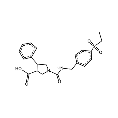 CCS(=O)(=O)c1ccc(CNC(=O)N2CC(C(=O)O)C(c3ccccc3)C2)cc1